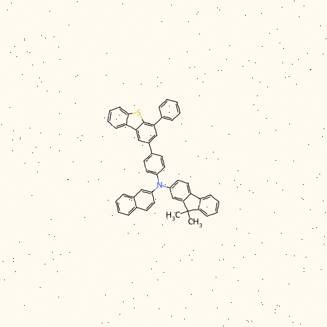 CC1(C)c2ccccc2-c2ccc(N(c3ccc(-c4cc(-c5ccccc5)c5sc6ccccc6c5c4)cc3)c3ccc4ccccc4c3)cc21